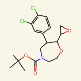 CC(C)(C)OC(=O)N1CCOC(C2CO2)C(c2ccc(Cl)c(Cl)c2)C1